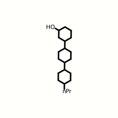 CCCC1CCC(C2CCC(C3CCCC(O)C3)CC2)CC1